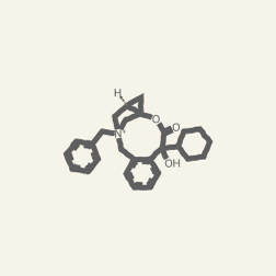 O=C1OC23C[C@@H]2C[N+](Cc2ccccc2)(Cc2ccccc2C1(O)C1CCCCC1)C3